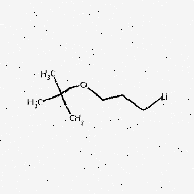 [Li][CH2]CCOC(C)(C)C